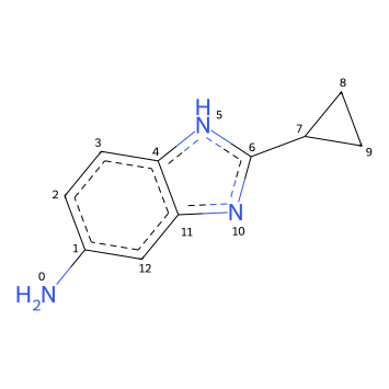 Nc1ccc2[nH]c(C3CC3)nc2c1